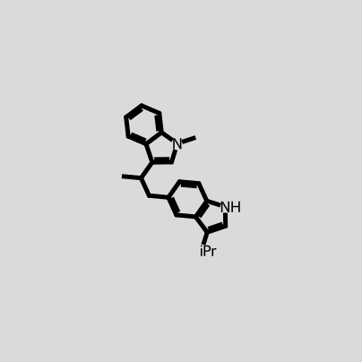 CC(C)c1c[nH]c2ccc(CC(C)c3cn(C)c4ccccc34)cc12